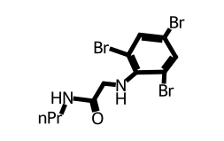 CCCNC(=O)CNc1c(Br)cc(Br)cc1Br